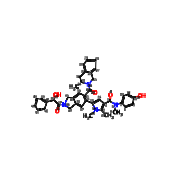 Cc1c(C(=O)N(C)c2ccc(O)cc2)cc(-c2cc3c(cc2C(=O)N2Cc4ccccc4C[C@H]2C)CN(C(=O)C(O)c2ccccc2)C3)n1C